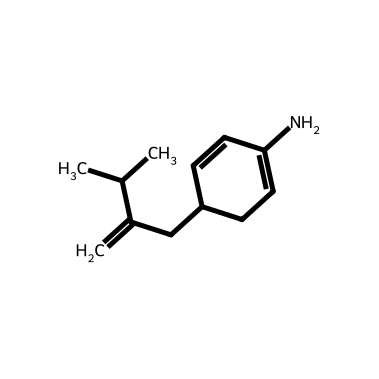 C=C(CC1C=CC(N)=CC1)C(C)C